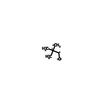 CC(C)(C)C[O]